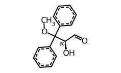 COC(c1ccccc1)(c1ccccc1)[C@H](O)C=O